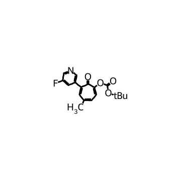 Cc1ccc(OC(=O)OC(C)(C)C)c(=O)c(-c2cncc(F)c2)c1